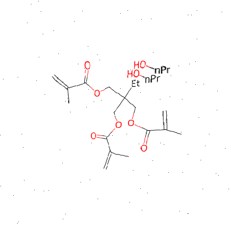 C=C(C)C(=O)OCC(CC)(COC(=O)C(=C)C)COC(=O)C(=C)C.CCCO.CCCO